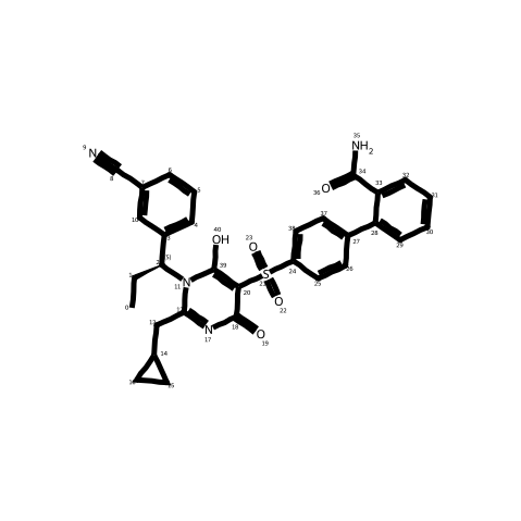 CC[C@@H](c1cccc(C#N)c1)n1c(CC2CC2)nc(=O)c(S(=O)(=O)c2ccc(-c3ccccc3C(N)=O)cc2)c1O